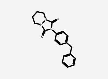 O=c1n(-c2ccc(Cc3ccccc3)cc2)c(=S)n2n1CCCC2